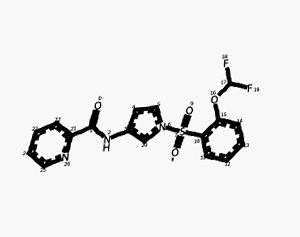 O=C(Nc1ccn(S(=O)(=O)c2ccccc2OC(F)F)c1)c1ccccn1